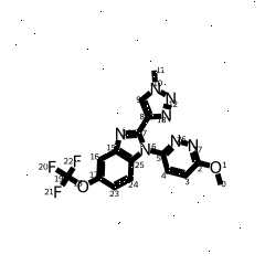 COc1ccc(-n2c(-c3cn(C)nn3)nc3cc(OC(F)(F)F)ccc32)nn1